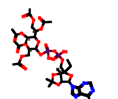 CCC1(COP(=O)(O)OP(=O)(O)OC(OC([C@H](C)OC(C)=O)[C@@H](COC(C)=O)OC(C)=O)[C@@H](COC(C)=O)OC(C)=O)OC(n2cnc3c(N)ncnc32)C2OC(C)(C)O[C@H]21